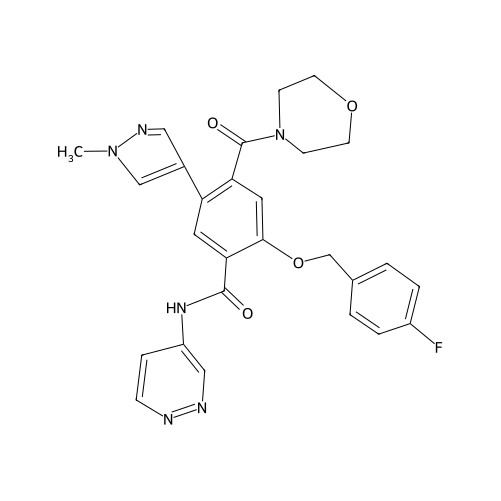 Cn1cc(-c2cc(C(=O)Nc3ccnnc3)c(OCc3ccc(F)cc3)cc2C(=O)N2CCOCC2)cn1